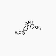 CCC(=O)N1CCC(N(C(N)=O)[C@H]2CC[C@H](C)CC2)CC1